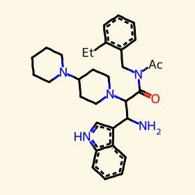 CCc1ccccc1CN(C(C)=O)C(=O)C(C(N)c1c[nH]c2ccccc12)N1CCC(N2CCCCC2)CC1